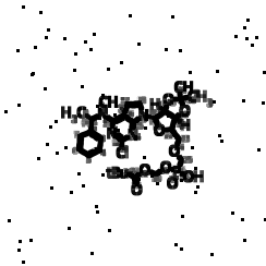 C[C@H](c1ccccc1)N(C)c1nc(Cl)nc2c1ccn2[C@@H]1OC(COCP(=O)(O)OCOC(=O)C(C)(C)C)[C@H]2OC(C)(C)O[C@H]21